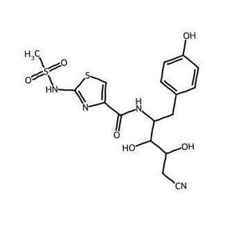 CS(=O)(=O)Nc1nc(C(=O)NC(Cc2ccc(O)cc2)C(O)C(O)CC#N)cs1